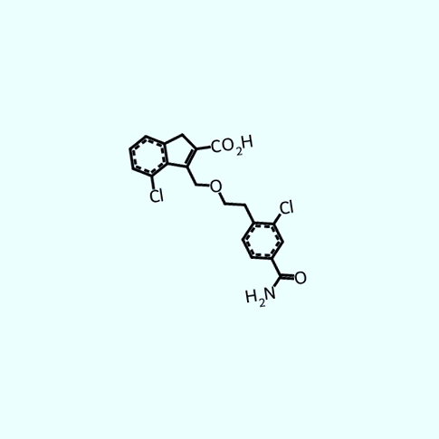 NC(=O)c1ccc(CCOCC2=C(C(=O)O)Cc3cccc(Cl)c32)c(Cl)c1